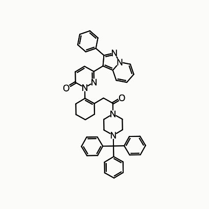 O=C(CC1=C(n2nc(-c3c(-c4ccccc4)nn4ccccc34)ccc2=O)CCCC1)N1CCN(C(c2ccccc2)(c2ccccc2)c2ccccc2)CC1